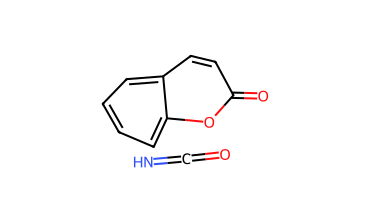 N=C=O.O=c1ccc2ccccc2o1